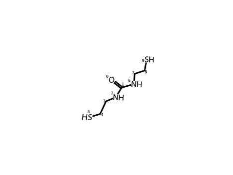 O=C(NCCS)NCCS